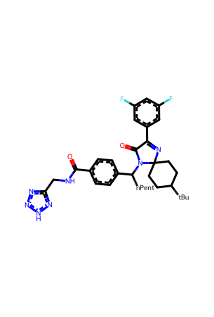 CCCCCC(c1ccc(C(=O)NCc2nn[nH]n2)cc1)N1C(=O)C(c2cc(F)cc(F)c2)=NC12CCC(C(C)(C)C)CC2